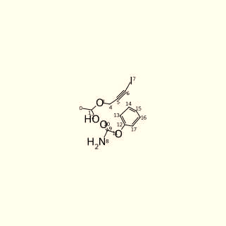 CC(O)OCC#CI.NC(=O)Oc1ccccc1